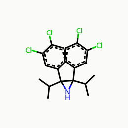 CC(C)C1(c2ccc(Cl)c(Cl)c2)NC1(c1ccc(Cl)c(Cl)c1)C(C)C